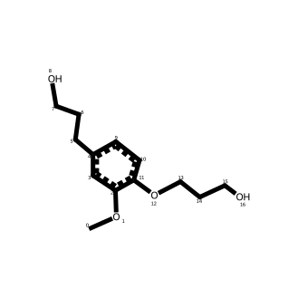 COc1cc(CCCO)ccc1OCCCO